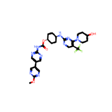 COc1ncc(-c2cnc(NC(=O)O[C@H]3CC[C@H](Nc4ncc(C(F)(F)F)c(N5CCC(O)CC5)n4)CC3)nc2)cn1